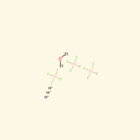 CCOCC.F[B-](F)(F)F.F[B-](F)(F)F.F[B-](F)(F)F.[H+].[H+].[H+]